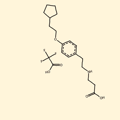 O=C(O)C(F)(F)F.O=C(O)CCNCCc1ccc(OCCC2CCCC2)cc1